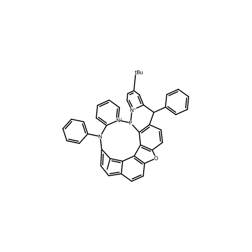 Cc1c2c3ccc4oc5ccc6c(c5c42)p([n+]2ccccc2n(-c2ccccc2)c1cc3)-[n+]1ccc(C(C)(C)C)cc1C6c1ccccc1